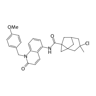 COc1ccc(Cn2c(=O)ccc3c(NC(=O)C45CC6CC(C)(Cl)CC4(C6)C5)cccc32)cc1